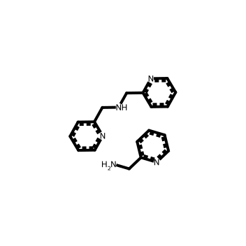 NCc1ccccn1.c1ccc(CNCc2ccccn2)nc1